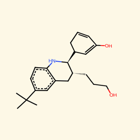 CC(C)(C)c1ccc2c(c1)C[C@@H](CCCO)[C@H](C1C=C(O)C=CC1)N2